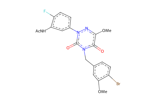 COc1cc(Cn2c(=O)c(OC)nn(-c3ccc(F)c(NC(C)=O)c3)c2=O)ccc1Br